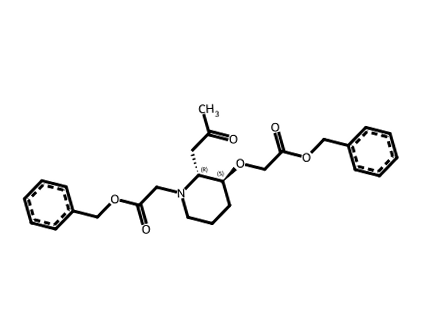 CC(=O)C[C@@H]1[C@@H](OCC(=O)OCc2ccccc2)CCCN1CC(=O)OCc1ccccc1